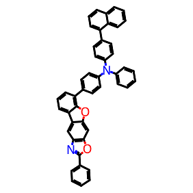 c1ccc(-c2nc3cc4c(cc3o2)oc2c(-c3ccc(N(c5ccccc5)c5ccc(-c6cccc7ccccc67)cc5)cc3)cccc24)cc1